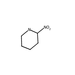 O=[N+]([O-])C1CCCC[N]1